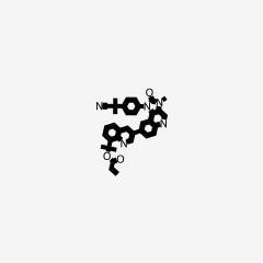 C=CC(=O)OC(C)(C)c1cccc2cc(-c3ccc4ncc5c(c4c3)n(-c3ccc(C(C)(C)C#N)cc3)c(=O)n5C)cnc12